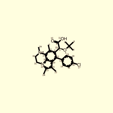 Cc1c([C@H](OC(C)(C)C)C(=O)O)c(-c2ccc(Cl)cc2)c2c(C)c(C)n3c2c1N(C)CC3